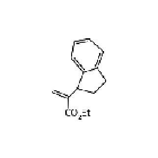 C=C(C(=O)OCC)C1CCc2ccccc21